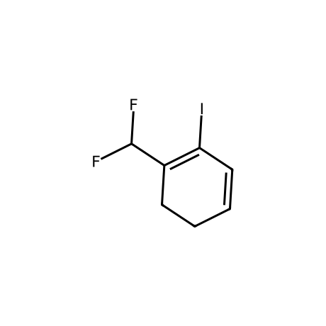 FC(F)C1=C(I)C=CCC1